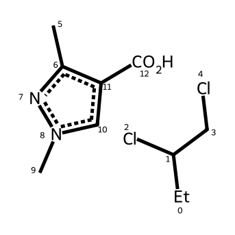 CCC(Cl)CCl.Cc1nn(C)cc1C(=O)O